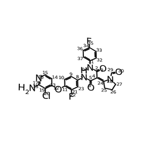 CN(C(=O)/C(C(=O)Nc1ccc(Oc2ccnc(N)c2Cl)c(F)c1)=C1/CCCN1C=O)c1ccc(F)cc1